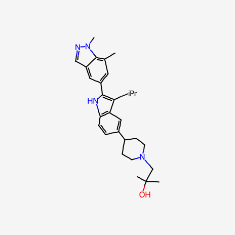 Cc1cc(-c2[nH]c3ccc(C4CCN(CC(C)(C)O)CC4)cc3c2C(C)C)cc2cnn(C)c12